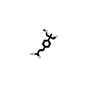 COCC(C)(C=O)c1ccc(/C=C/C(=O)O)cc1